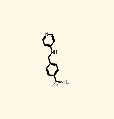 C[C@@H](N)c1ccc(CNc2ccncc2)cc1